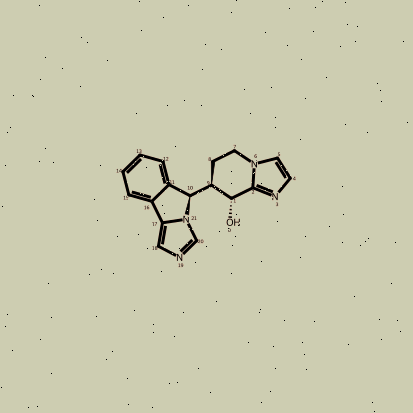 O[C@H]1c2nccn2CC[C@@H]1[C@@H]1c2ccccc2-c2cncn21